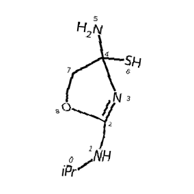 CC(C)NC1=NC(N)(S)CO1